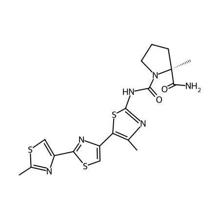 Cc1nc(-c2nc(-c3sc(NC(=O)N4CCC[C@@]4(C)C(N)=O)nc3C)cs2)cs1